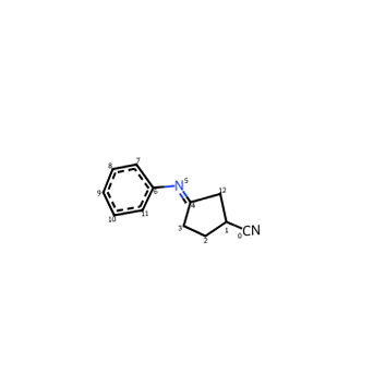 N#CC1CC/C(=N\c2ccccc2)C1